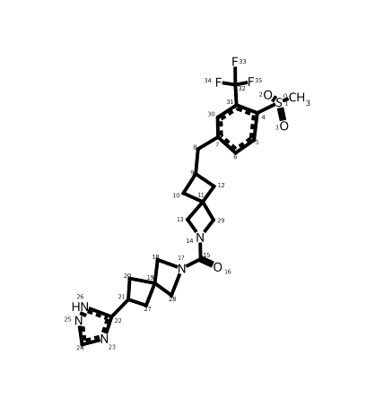 CS(=O)(=O)c1ccc(CC2CC3(C2)CN(C(=O)N2CC4(CC(c5ncn[nH]5)C4)C2)C3)cc1C(F)(F)F